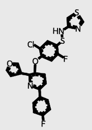 Fc1ccc(-c2ccc(Oc3cc(F)c(SNc4cscn4)cc3Cl)c(-c3ccoc3)n2)cc1